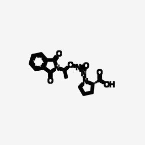 CC(On1on1N1CCC[C@H]1C(=O)O)N1C(=O)c2ccccc2C1=O